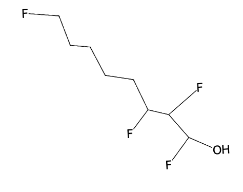 OC(F)C(F)C(F)CCCCCF